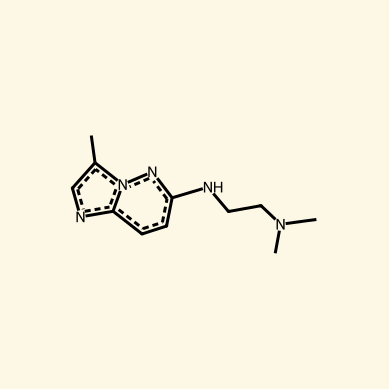 Cc1cnc2ccc(NCCN(C)C)nn12